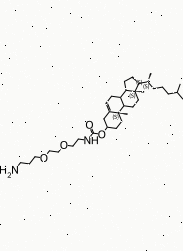 CC(C)CCC[C@H](C)[C@@H]1CCC2C3CC=C4CC(OC(=O)NCCOCCOCCCN)CC[C@@]4(C)C3CC[C@]21C